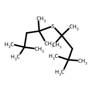 CC(C)(C)CC(C)(C)SC(C)(C)CC(C)(C)C